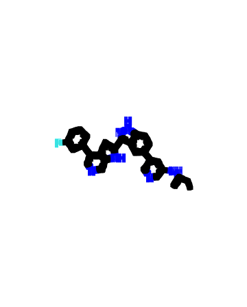 C=C(CC)Nc1cncc(-c2ccc3[nH]nc(-c4cc5c(-c6cccc(F)c6)cncc5[nH]4)c3c2)c1